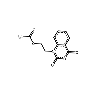 CC(=O)OCCn1c(=O)oc(=O)c2ccccc21